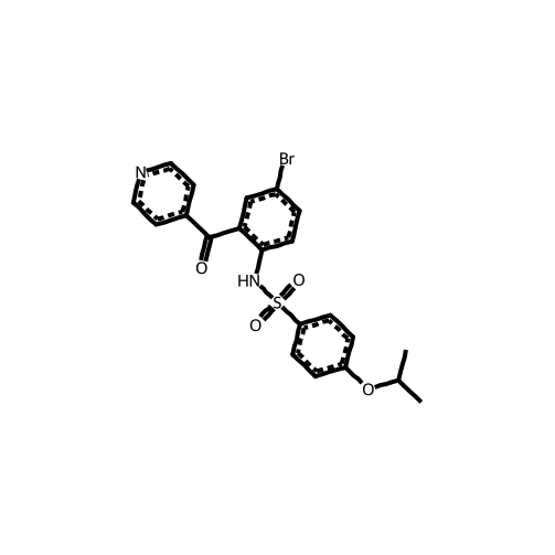 CC(C)Oc1ccc(S(=O)(=O)Nc2ccc(Br)cc2C(=O)c2ccncc2)cc1